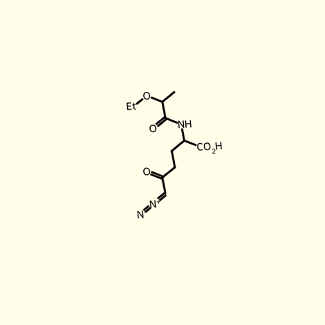 CCOC(C)C(=O)NC(CCC(=O)C=[N+]=[N-])C(=O)O